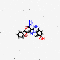 Cc1ccc(O)c(C)c1-n1nc(-c2cc3ccccc3o2)c(C(N)=O)c1N